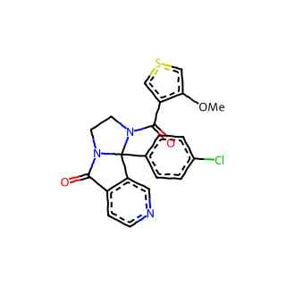 COc1cscc1C(=O)N1CCN2C(=O)c3ccncc3C12c1ccc(Cl)cc1